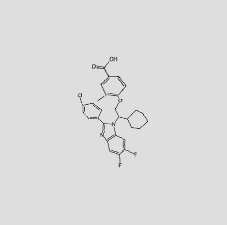 Cc1cc(C(=O)O)ccc1OCC(C1CCCCC1)n1c(-c2ccc(Cl)cc2)nc2cc(F)c(F)cc21